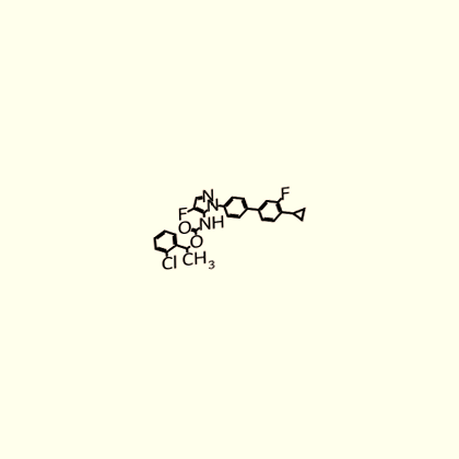 CC(OC(=O)Nc1c(F)cnn1-c1ccc(-c2ccc(C3CC3)c(F)c2)cc1)c1ccccc1Cl